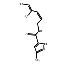 CC/C=C(C)/C=C\CNC(=O)c1cc(C)n[nH]1